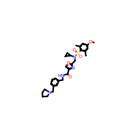 COc1cc(C)c(S(=O)(=O)N(Cc2nc(C(=O)NCc3cccc(CN4CCCC4)c3)co2)C2CC2)c(C)c1